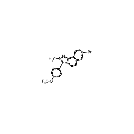 Cn1nc2c(ccc3cc(Br)ccc32)c1-c1ccc(OC(F)(F)F)cc1